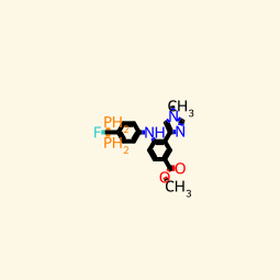 COC(=O)c1ccc(Nc2ccc(C(F)(P)P)cc2)c(-c2cn(C)cn2)c1